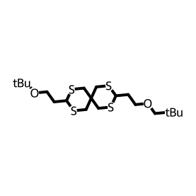 CC(C)(C)COCCC1SCC2(CS1)CSC(CCOC(C)(C)C)SC2